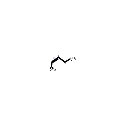 [CH2]/C=C\C[CH2]